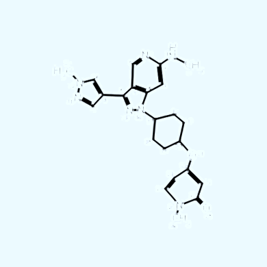 CNc1cc2c(cn1)c(-c1cnn(C)c1)nn2C1CCC(Oc2ccn(C)c(=O)c2)CC1